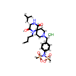 CCCCN1C(=O)[C@H](CC(C)C)NC(=O)C12CCN(Cc1ccc(N(S(C)(=O)=O)S(C)(=O)=O)cc1)CC2.Cl